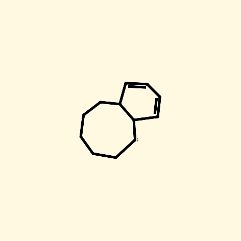 [C]1CCCCCC2C=CC=CC12